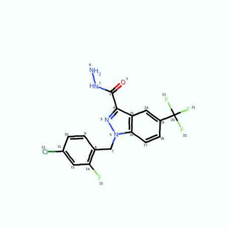 NNC(=O)c1nn(Cc2ccc(Cl)cc2F)c2ccc(C(F)(F)F)cc12